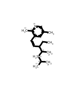 CCC(/C=C\c1cc(C)cnc1C)C(C)[SiH2]C(C)C